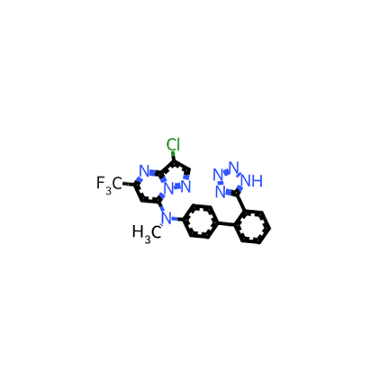 CN(c1ccc(-c2ccccc2-c2nnn[nH]2)cc1)c1cc(C(F)(F)F)nc2c(Cl)cnn12